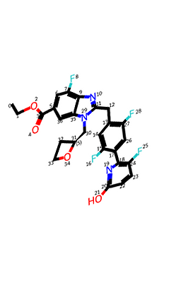 CCOC(=O)c1cc(F)c2nc(Cc3cc(F)c(-c4nc(O)ccc4F)cc3F)n(C[C@@H]3CCO3)c2c1